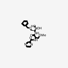 COCC(NC(=O)c1cnccn1)C(=O)N[C@@H](COCc1ccccc1)B(O)O